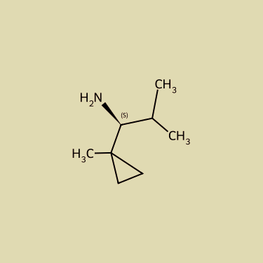 CC(C)[C@H](N)C1(C)CC1